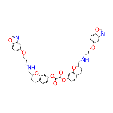 O=C(Oc1ccc2c(c1)OC(CNCCCOc1ccc3ocnc3c1)CC2)C(=O)Oc1ccc2c(c1)OC(CNCCCOc1ccc3ocnc3c1)CC2